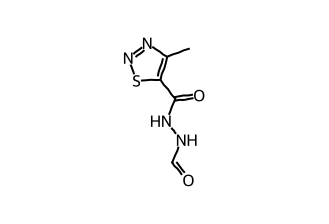 Cc1nnsc1C(=O)NNC=O